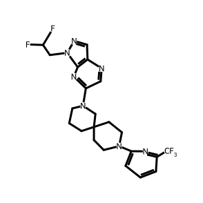 FC(F)Cn1ncc2ncc(N3CCCC4(CCN(c5cccc(C(F)(F)F)n5)CC4)C3)nc21